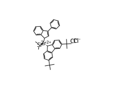 C[Si](C)=[Zr+2]([CH]1C=C(c2ccccc2)c2ccccc21)[CH]1c2ccc(C(C)(C)C)cc2-c2cc(C(C)(C)C)ccc21.[Cl-].[Cl-]